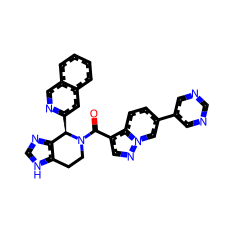 O=C(c1cnn2cc(-c3cncnc3)ccc12)N1CCc2[nH]cnc2[C@H]1c1cc2ccccc2cn1